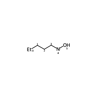 CCCCC[N]O